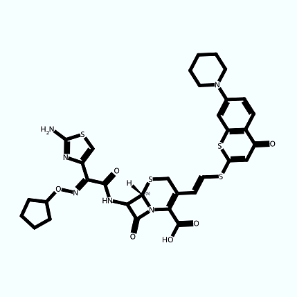 Nc1nc(C(=NOC2CCCC2)C(=O)NC2C(=O)N3C(C(=O)O)=C(C=CSc4cc(=O)c5ccc(N6CCCCC6)cc5s4)CS[C@@H]23)cs1